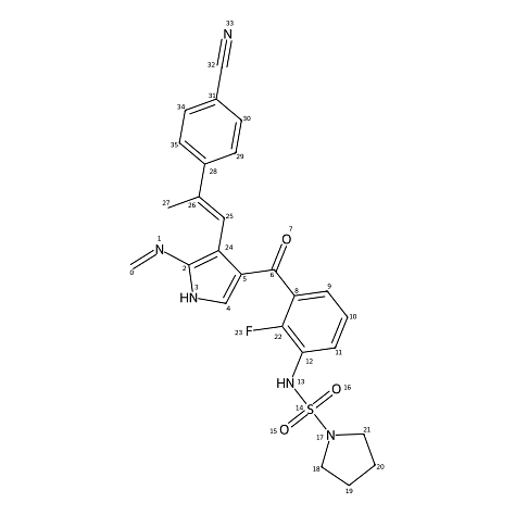 C=Nc1[nH]cc(C(=O)c2cccc(NS(=O)(=O)N3CCCC3)c2F)c1/C=C(\C)c1ccc(C#N)cc1